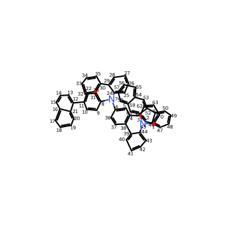 c1ccc(-c2cc(N(c3ccc(-c4cccc5ccccc45)cc3)c3ccccc3-c3ccccc3)ccc2-c2ccccc2-n2c3ccccc3c3cc4ccccc4cc32)cc1